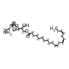 CC/C=C\C/C=C\C/C=C\CCCCCCCCCC(=O)OCC(O)COP(=O)(O)OCCN